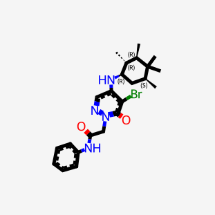 C[C@@H]1[C@@H](C)C(C)(C)[C@@H](C)C[C@H]1Nc1cnn(CC(=O)Nc2ccccc2)c(=O)c1Br